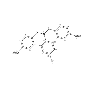 COc1ccc(CN(Cc2ccc(OC)cc2)c2ccc(Br)cn2)cc1